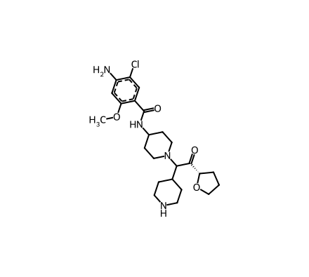 COc1cc(N)c(Cl)cc1C(=O)NC1CCN(C(C(=O)[C@@H]2CCCO2)C2CCNCC2)CC1